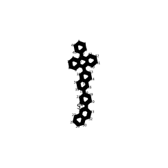 c1ccc(-c2c3ccccc3c(-c3ccc4cc(-c5ccc6c(c5)sc5c7ccccc7ccc65)ccc4c3)c3ccccc23)cc1